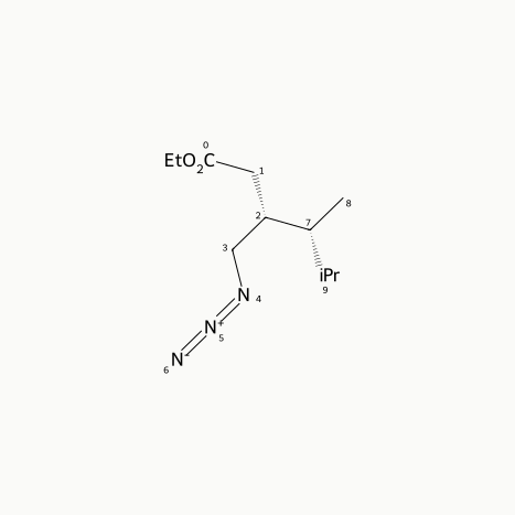 CCOC(=O)C[C@@H](CN=[N+]=[N-])[C@H](C)C(C)C